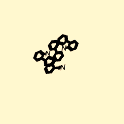 N#Cc1ccccc1-c1ccc(-n2c3ccccc3c3ccccc32)c(-c2ccccc2-n2c3ccccc3c3ccccc32)c1